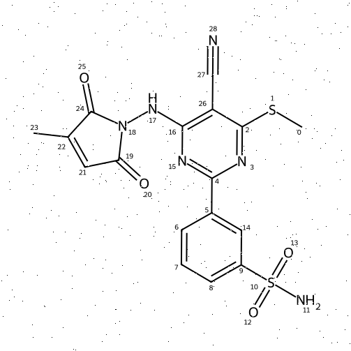 CSc1nc(-c2cccc(S(N)(=O)=O)c2)nc(NN2C(=O)C=C(C)C2=O)c1C#N